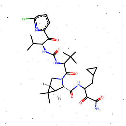 CC(C)[C@H](NC(=O)N[C@H](C(=O)N1C[C@H]2[C@@H]([C@H]1C(=O)NC(CC1CC1)C(=O)C(N)=O)C2(C)C)C(C)(C)C)C(=O)c1cccc(Br)n1